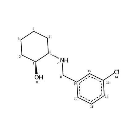 O[C@H]1CCCC[C@@H]1NCc1cccc(Cl)c1